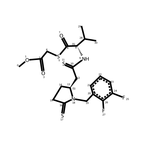 COC(=O)CSC(=O)[C@@H](NC(=S)C[C@@H]1CCC(=S)N1Cc1cccc(F)c1F)C(C)C